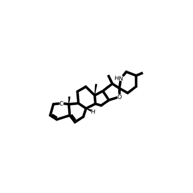 CC1CCC2(NC1)OC1CC3[C@@H]4CC=C5C=CCC[C@]5(C)C4CC[C@]3(C)C1C2C